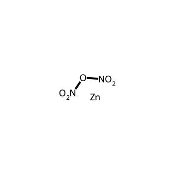 O=[N+]([O-])O[N+](=O)[O-].[Zn]